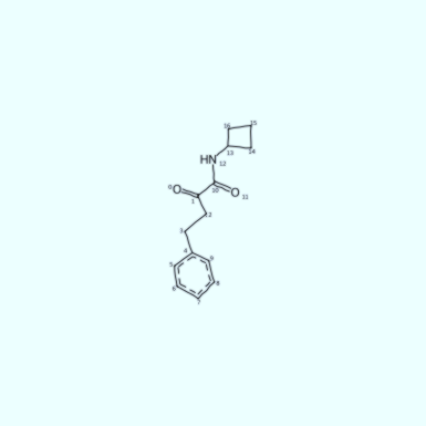 O=C([CH]Cc1ccccc1)C(=O)NC1CCC1